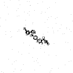 COC1CN(C(=O)c2nc(N3CCN(C(=O)N4N=CC[C@H]4c4cncc(C#N)c4)CC3)ncc2F)C1